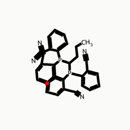 CCCC(P(c1ccccc1C#N)c1ccccc1C#N)P(c1ccccc1C#N)c1ccccc1C#N